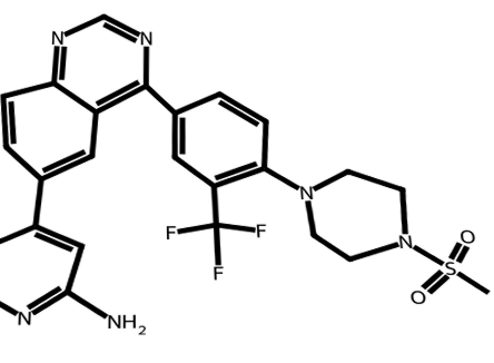 CS(=O)(=O)N1CCN(c2ccc(-c3ncnc4ccc(-c5ccnc(N)c5)cc34)cc2C(F)(F)F)CC1